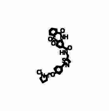 O=C(NCc1cnc(-c2ccc(OC[C@H]3CCCN3Cl)cc2)s1)c1ccc2c(c1)NC(=O)c1ccccc1S2(=O)=O